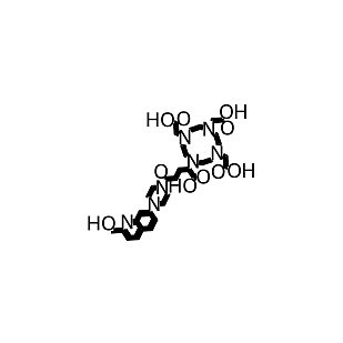 O=C(O)CN1CCN(CC(=O)O)CCN(C(CCC(=O)N2CCN(c3ccc4ccc(CO)nc4c3)CC2)C(=O)O)CCN(CC(=O)O)CC1